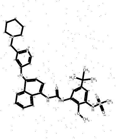 COc1c(NC(=O)Nc2ccc(Oc3ccnc(CN4CCCCC4)c3)c3ccccc23)cc(C(C)(C)C)cc1NS(C)(=O)=O